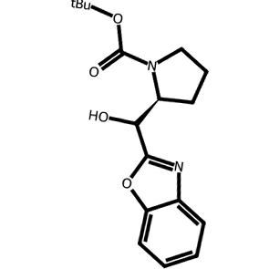 CC(C)(C)OC(=O)N1CCC[C@H]1C(O)c1nc2ccccc2o1